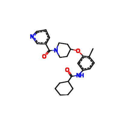 Cc1ccc(NC(=O)C2CCCCC2)cc1OC1CCN(C(=O)c2cccnc2)CC1